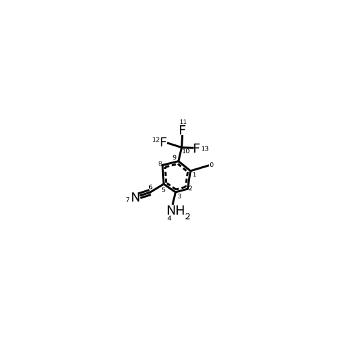 Cc1cc(N)c(C#N)cc1C(F)(F)F